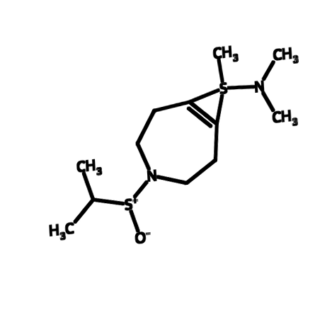 CC(C)[S+]([O-])N1CCC2=C(CC1)S2(C)N(C)C